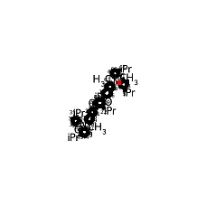 Cc1ccc(C(C)C)cc1N(c1ccc2cc3c(cc2c1)oc1c(C(C)C)c2c(oc4cc5cc(N(c6cc(C(C)C)ccc6C)c6cc(C(C)C)ccc6C)ccc5cc42)c(C(C)C)c13)c1cc(C(C)C)ccc1C